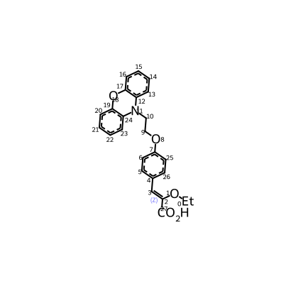 CCO/C(=C\c1ccc(OCCN2c3ccccc3Oc3ccccc32)cc1)C(=O)O